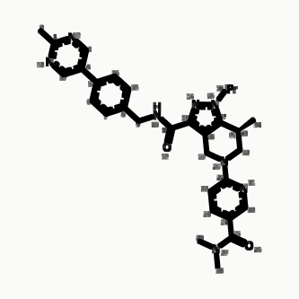 Cc1ncc(-c2ccc(CNC(=O)c3nn(C(C)C)c4c3CN(c3ccc(C(=O)N(C)C)cn3)C[C@@H]4C)cc2)cn1